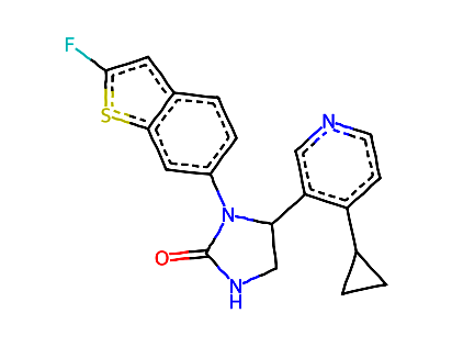 O=C1NCC(c2cnccc2C2CC2)N1c1ccc2cc(F)sc2c1